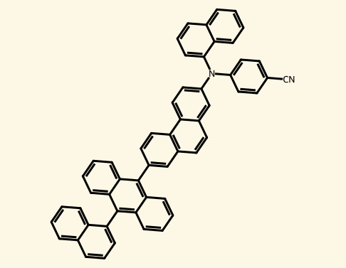 N#Cc1ccc(N(c2ccc3c(ccc4cc(-c5c6ccccc6c(-c6cccc7ccccc67)c6ccccc56)ccc43)c2)c2cccc3ccccc23)cc1